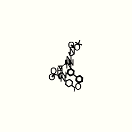 C[C@H](Oc1cccc(-c2cccc(-n3ncc(C(=O)O)c3[C@@H]3C[C@H]3c3cn(C4CN(C(=O)OC(C)(C)C)C4)nn3)c2)c1)C1CCCCC1